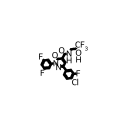 O=C(NCC(O)C(F)(F)F)c1cc(-c2ccc(Cl)c(F)c2)nn(-c2cc(F)cc(F)c2)c1=O